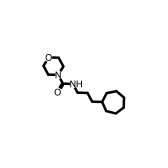 O=C(NCCCC1CCCCCC1)N1CCOCC1